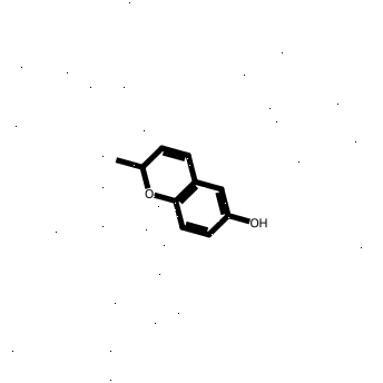 CC1C=Cc2cc(O)ccc2O1